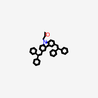 C(=C(c1ccccc1)c1ccccc1)c1ccc2c(c1)c1cc(C=C(c3ccccc3)c3ccccc3)ccc1n2CC1CO1